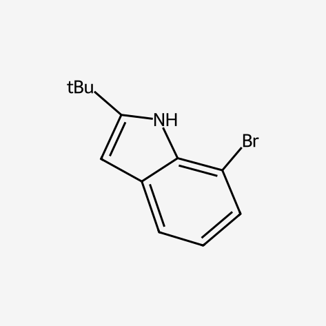 CC(C)(C)c1cc2cccc(Br)c2[nH]1